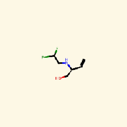 C=C[C@@H](CO)NCC(F)F